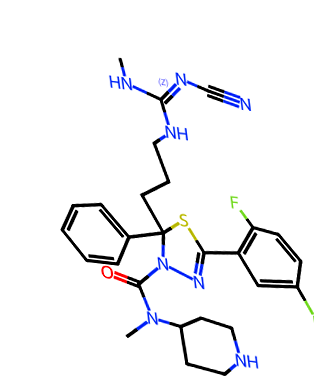 CN/C(=N/C#N)NCCCC1(c2ccccc2)SC(c2cc(F)ccc2F)=NN1C(=O)N(C)C1CCNCC1